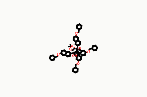 CC1(C)O[C@@H](C(O)(c2ccc3cc(OCc4ccccc4)ccc3c2)c2ccc3cc(OCc4ccccc4)ccc3c2)[C@H](C(O)(c2ccc3cc(OCc4ccccc4)ccc3c2)c2ccc3cc(OCc4ccccc4)ccc3c2)O1